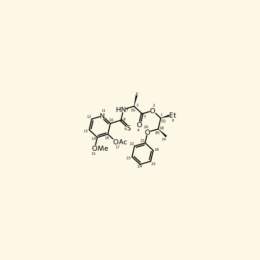 CC[C@H](OC(=O)[C@H](C)NC(=S)c1nccc(OC)c1OC(C)=O)[C@@H](C)Oc1ccccc1